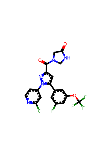 O=C1CN(C(=O)c2cc(-c3cc(F)cc(OC(F)(F)F)c3)n(-c3ccnc(Cl)c3)n2)CN1